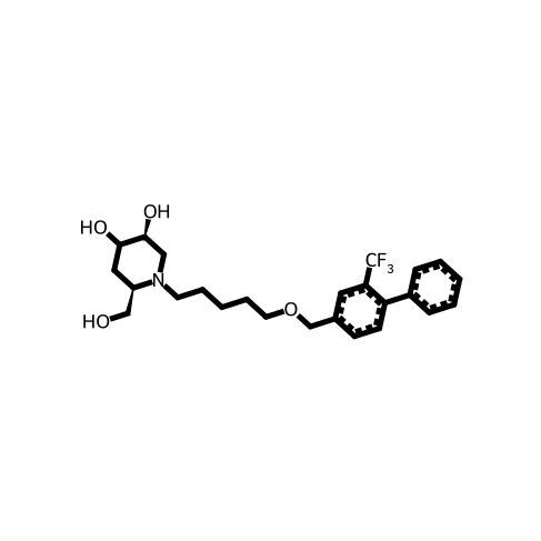 OC[C@H]1CC(O)[C@@H](O)CN1CCCCCOCc1ccc(-c2ccccc2)c(C(F)(F)F)c1